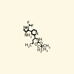 C=CCC(NC(=O)OC(C)(C)C)c1cc(-c2c(N)cnn2C(F)F)ccn1